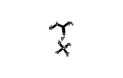 CCOC(N)=O.[Li+].[O-][Cl+3]([O-])([O-])[O-]